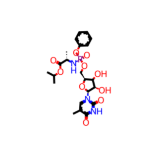 Cc1cn([C@H]2O[C@@H](CO[P@](=O)(N[C@@H](C)C(=O)OC(C)C)Oc3ccccc3)C(O)[C@H]2O)c(=O)[nH]c1=O